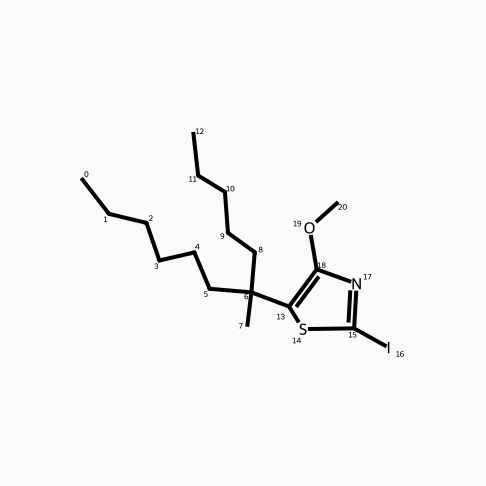 CCCCCCC(C)(CCCCC)c1sc(I)nc1OC